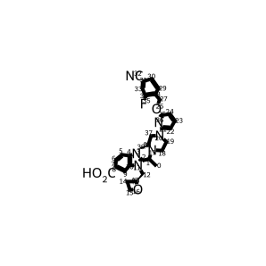 CC(c1nc2ccc(C(=O)O)cc2n1C[C@@H]1CCO1)N1CCN(c2cccc(OCc3ccc(C#N)cc3F)n2)C[C@@H]1C